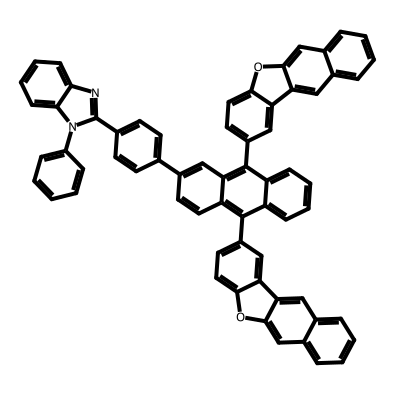 c1ccc(-n2c(-c3ccc(-c4ccc5c(-c6ccc7oc8cc9ccccc9cc8c7c6)c6ccccc6c(-c6ccc7oc8cc9ccccc9cc8c7c6)c5c4)cc3)nc3ccccc32)cc1